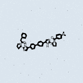 CN(C)c1ccc(C(=O)N2CCC[C@H]2c2ncc(-c3ccc(-c4ccc(-c5cnc([C@@H]6CCCN6C(=O)Cc6ccccc6)[nH]5)cc4)cc3)[nH]2)cc1